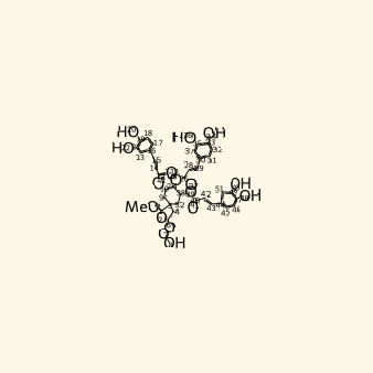 COC(=O)[C@]1(CCOOO)C[C@@H](OC(=O)/C=C/c2ccc(O)c(O)c2)[C@@H](OC(=O)/C=C/c2ccc(O)c(O)c2)[C@H](OC(=O)/C=C/c2ccc(O)c(O)c2)C1